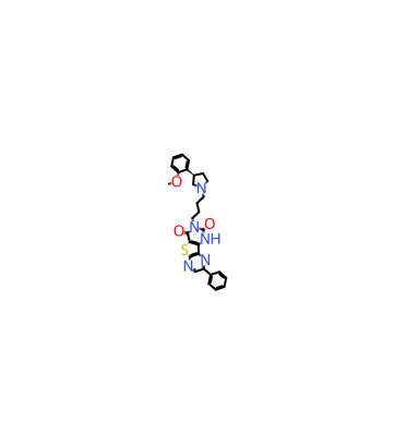 COc1ccccc1[C@H]1CCN(CCCCn2c(=O)[nH]c3c(sc4ncc(-c5ccccc5)nc43)c2=O)C1